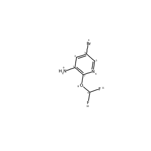 Nc1cc(Br)cnc1OC(F)F